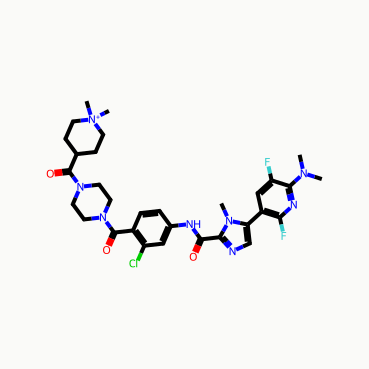 CN(C)c1nc(F)c(-c2cnc(C(=O)Nc3ccc(C(=O)N4CCN(C(=O)C5CC[N+](C)(C)CC5)CC4)c(Cl)c3)n2C)cc1F